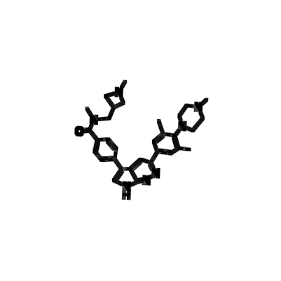 Cc1cc(-c2cc3c(-c4ccc(C(=O)N(C)CC5CN(C)C5)cc4)c[nH]c3nn2)cc(C)c1N1CCN(C)CC1